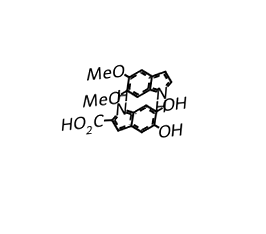 COc1cc2cc[nH]c2cc1OC.O=C(O)c1cc2cc(O)c(O)cc2[nH]1